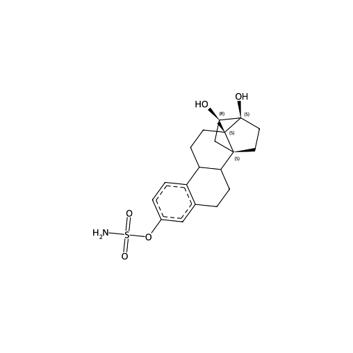 C[C@]12CCC3c4ccc(OS(N)(=O)=O)cc4CCC3[C@@]13CC[C@@]2(O)[C@H](O)C3